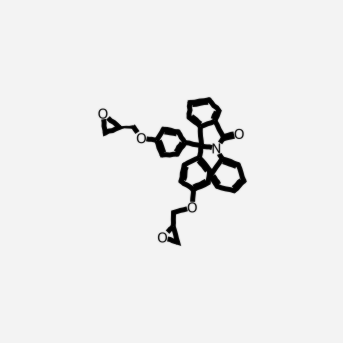 O=C1c2ccccc2C(c2ccc(OCC3CO3)cc2)(c2ccc(OC[C@H]3CO3)cc2)N1c1ccccc1